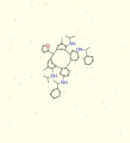 Cc1cc2cc(c1NC(C)C)-c1cc(NC(C)c3ccccc3)ccc1Cc1ccc(NC(C)c3ccccc3)cc1-c1cc(cc(C)c1NC(C)C)C2c1ccco1